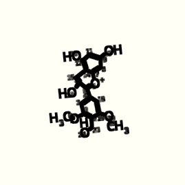 COc1cc(-c2[o+]c3cc(O)cc(O)c3cc2O)cc(OC)c1CO